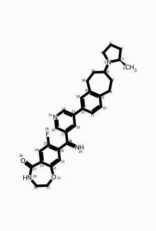 C[C@@H]1CCCN1C1CCc2ccc(-c3cncc(C(=N)c4cc5c(cc4F)C(=O)NCCO5)c3)cc2CC1